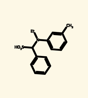 CCN(c1cccc(C)c1)C(c1ccccc1)S(=O)(=O)O